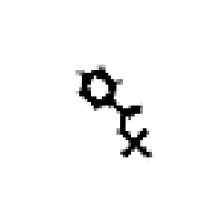 C=C(CC(C)(C)C)c1ccccc1